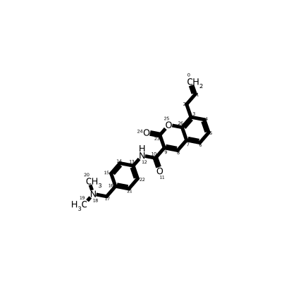 C=CCc1cccc2cc(C(=O)Nc3ccc(CN(C)C)cc3)c(=O)oc12